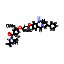 COc1cc2c(cc1OCCCOc1cc3c(cc1OC)C(=O)N1C=C(c4ccccc4)C[C@H]1CN3)N=C[C@@H]1CC3(CC3)CN1C2=O